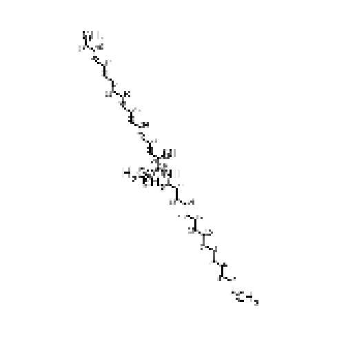 C=C.CCCCCCCCCCCCCCCCNC(=O)C(O)CCCCCCCCCCCCCCCC